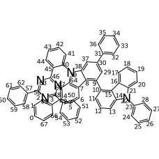 c1ccc(-c2ccc3c4c(-c5cccc6c5c5ccccc5n6-c5ccccc5)cc(-c5ccccc5)cc4n(-c4ccccc4-c4nc(-c5ccccc5)nc(-c5ccccc5)n4)c3c2)cc1